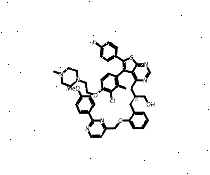 COc1ccc(-c2nccc(COc3ccccc3C[C@H](CO)Cc3ncnc4sc(-c5ccc(F)cc5)c(-c5ccc(OCCN6CCN(C)CC6)c(Cl)c5C)c34)n2)cc1